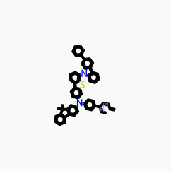 C=C/C=C\C(=C/C)c1ccc(N(c2ccc3c(c2)C(C)(C)c2ccccc2-3)c2ccc3c(c2)sc2c(-n4c5ccccc5c5ccc(-c6ccccc6)cc54)cccc23)cc1